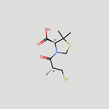 C[C@@H](CS)C(=O)N1CSC(C)(C)[C@@H]1C(=O)O